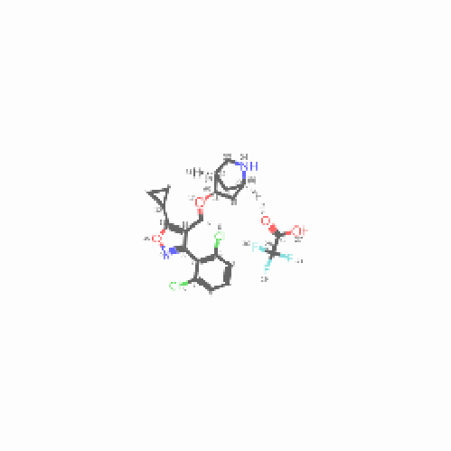 Clc1cccc(Cl)c1-c1noc(C2CC2)c1CO[C@@H]1C[C@H]2C[C@@H]1CN2.O=C(O)C(F)(F)F